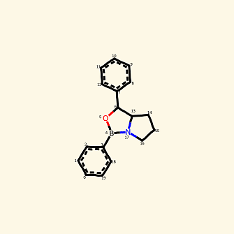 c1ccc(B2OC(c3ccccc3)C3CCCN23)cc1